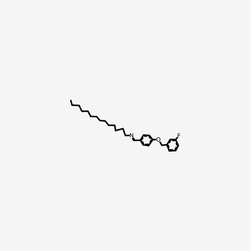 CCCCCCCCCCCCCCN=Cc1ccc(OCc2cccc(F)c2)cc1